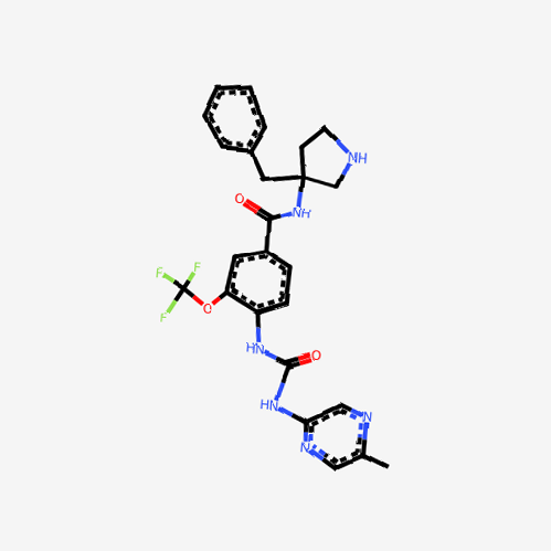 Cc1cnc(NC(=O)Nc2ccc(C(=O)NC3(Cc4ccccc4)CCNC3)cc2OC(F)(F)F)cn1